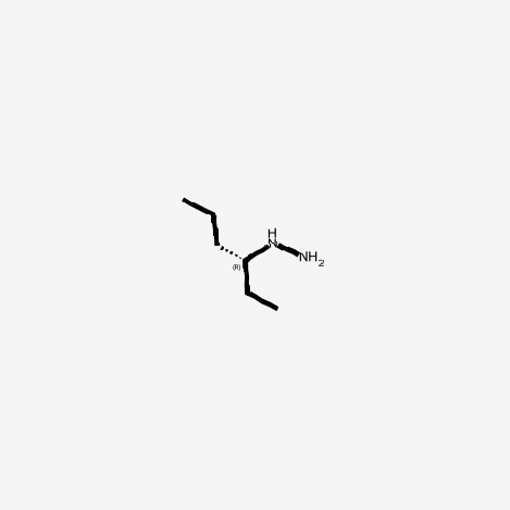 CCC[C@@H](CC)NN